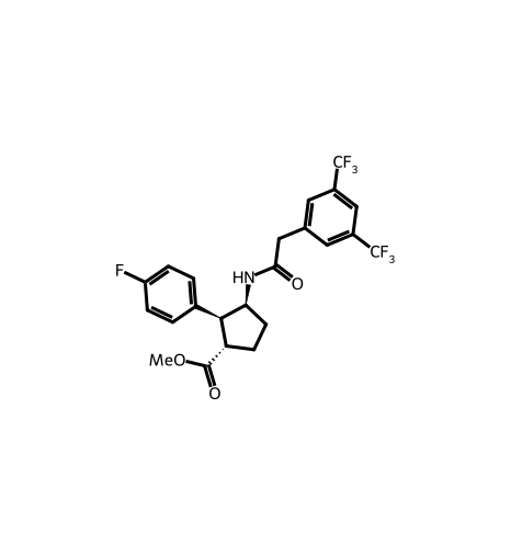 COC(=O)[C@H]1CC[C@H](NC(=O)Cc2cc(C(F)(F)F)cc(C(F)(F)F)c2)[C@@H]1c1ccc(F)cc1